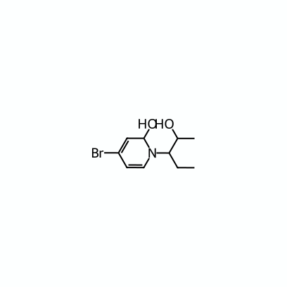 CCC(C(C)O)N1C=CC(Br)=CC1O